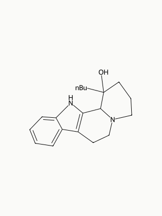 CCCCC1(O)CCCN2CCc3c([nH]c4ccccc34)C21